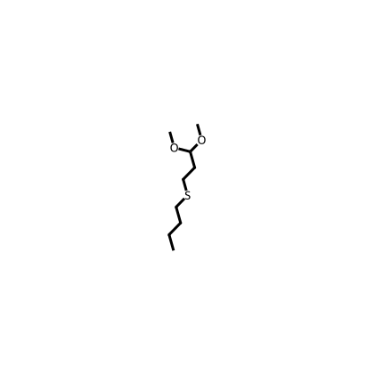 CCCCSCCC(OC)OC